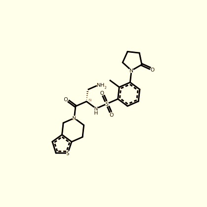 Cc1c(N2CCCC2=O)cccc1S(=O)(=O)N[C@@H](CN)C(=O)N1CCc2sccc2C1